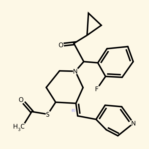 CC(=O)SC1CCN(C(C(=O)C2CC2)c2ccccc2F)C/C1=C\c1ccncc1